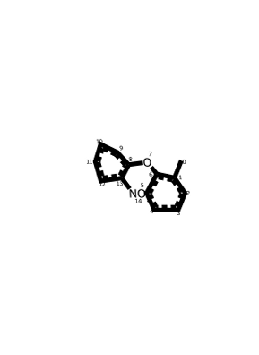 Cc1ccccc1Oc1ccccc1[N+](=O)[O-]